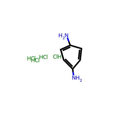 Cl.Cl.Cl.Cl.Nc1ccc(N)cc1